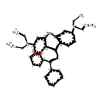 CCN(CC)c1ccc(C(C=C(c2ccccc2)c2ccccc2)c2ccc(N(CC)CC)cc2C)c(C)c1